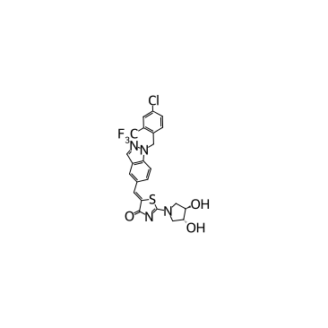 O=C1N=C(N2C[C@@H](O)[C@H](O)C2)S/C1=C\c1ccc2c(cnn2Cc2ccc(Cl)cc2C(F)(F)F)c1